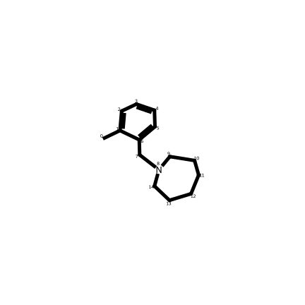 Cc1ccccc1CN1CCCCCC1